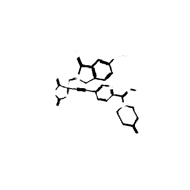 COc1ccc2c(c1)C(=O)N(C[C@@]1(C#Cc3ccc(C(=NO)N4CCC(=O)CC4)nc3)NC(=O)NC1=O)C2